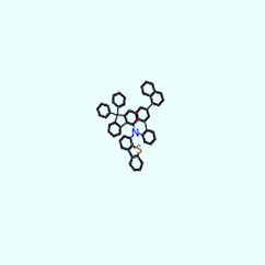 c1ccc(C2(c3ccccc3)c3ccccc3-c3c(N(c4ccccc4-c4cccc(-c5cccc6ccccc56)c4)c4cccc5c4sc4ccccc45)cccc32)cc1